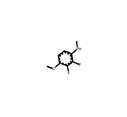 COc1ccc(PC)c(F)c1F